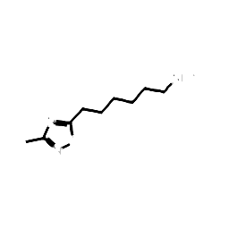 CC(=O)NCCCCCCc1nc(C)ns1